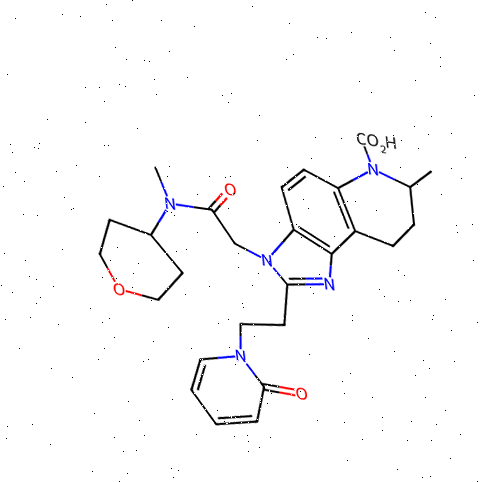 CC1CCc2c(ccc3c2nc(CCn2ccccc2=O)n3CC(=O)N(C)C2CCOCC2)N1C(=O)O